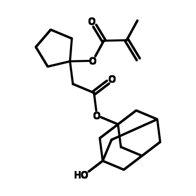 C=C(C)C(=O)OC1(CC(=O)OC23CC4CC(CC(O)(C4)C2)C3)CCCC1